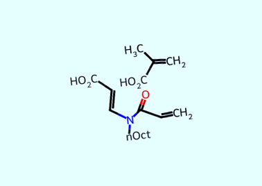 C=C(C)C(=O)O.C=CC(=O)N(C=CC(=O)O)CCCCCCCC